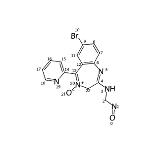 O=NCNC1=Nc2ccc(Br)cc2C(c2ccccn2)=[N+]([O-])C1